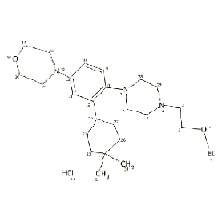 CCOCCN1CCN(c2ccc(N3CCOCC3)cc2C2CCC(C)(C)CC2)CC1.Cl